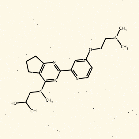 CN(C)CCOc1ccnc(-c2nc3c(c(N(C)CC(O)O)n2)CCC3)c1